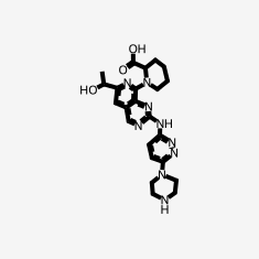 CC(O)c1cc2cnc(Nc3ccc(N4CCNCC4)nn3)nc2c(N2CCCCC2C(=O)O)n1